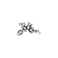 Nc1ncc(-c2cc(O)nc(N3CCOCC3)n2)c(C(F)(F)F)n1